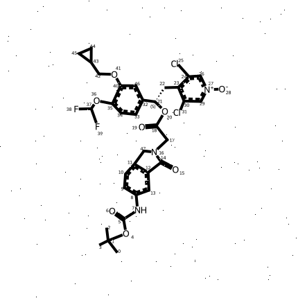 CC(C)(C)OC(=O)Nc1ccc2c(c1)C(=O)N(CC(=O)O[C@@H](Cc1c(Cl)c[n+]([O-])cc1Cl)c1ccc(OC(F)F)c(OCC3CC3)c1)C2